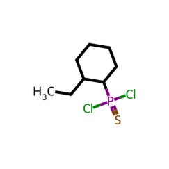 CCC1CCCCC1P(=S)(Cl)Cl